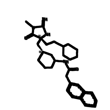 CN1C(=N)N[C@](CCC2CCCCC2)(C[C@H]2CCCC(NC(=O)Cc3ccc4ccccc4c3)C2)C1=O